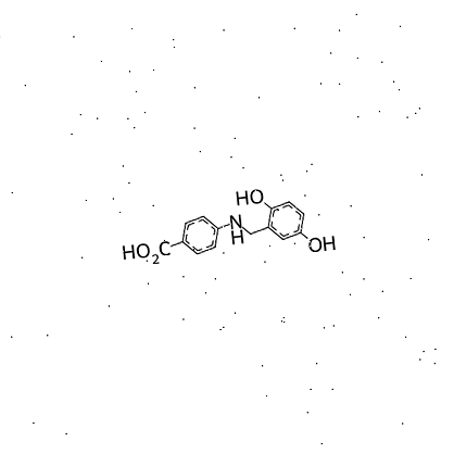 O=C(O)c1ccc(NCc2cc(O)ccc2O)cc1